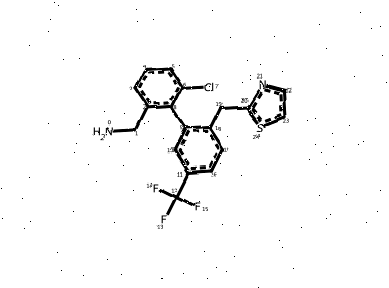 NCc1cccc(Cl)c1-c1cc(C(F)(F)F)ccc1Cc1nccs1